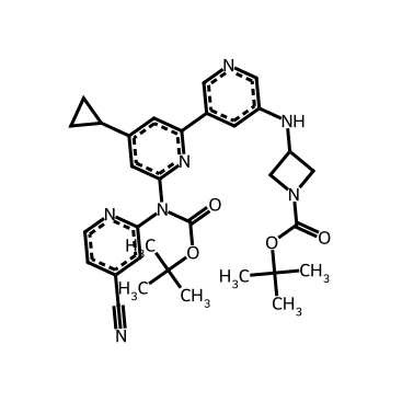 CC(C)(C)OC(=O)N1CC(Nc2cncc(-c3cc(C4CC4)cc(N(C(=O)OC(C)(C)C)c4cc(C#N)ccn4)n3)c2)C1